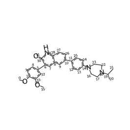 COc1ccc(-c2cc3cc(-c4ccc(N5CCN(C(C)C)CC5)cc4)ccc3[nH]c2=O)cc1OC